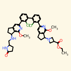 CCOC(=O)C1CN(C2CCc3cc(-c4cccc(-c5cccc(-c6cc7c(c(OC)n6)C(NCC6CCC(=O)N6)CC7)c5Cl)c4Cl)nc(OC)c32)C1